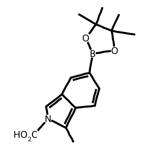 Cc1c2ccc(B3OC(C)(C)C(C)(C)O3)cc2cn1C(=O)O